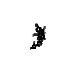 CCC(=O)O[C@]1(C(=O)SCC(=O)c2ccc(F)cc2F)[C@H](C)C[C@H]2[C@@H]3C[C@H](F)C4=CC(=O)C=C[C@]4(C)[C@@]3(F)[C@@H](O)C[C@@]21C